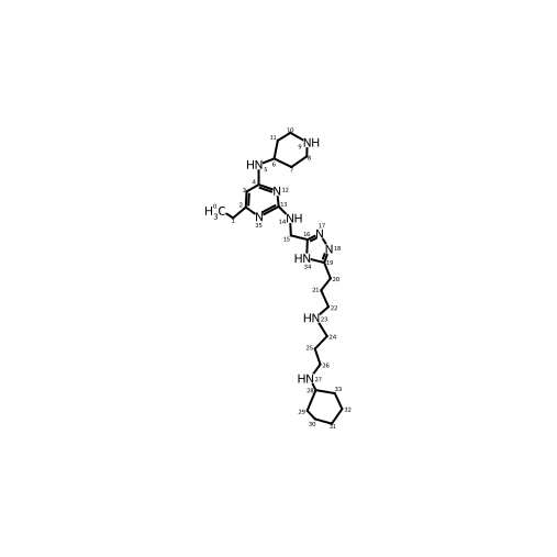 CCc1cc(NC2CCNCC2)nc(NCc2nnc(CCCNCCCNC3CCCCC3)[nH]2)n1